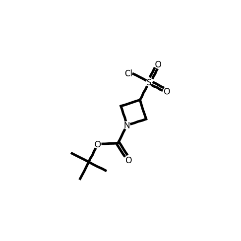 CC(C)(C)OC(=O)N1CC(S(=O)(=O)Cl)C1